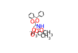 CC(C)(C)OC(=O)NC(CO[C]=O)C(=O)OC(c1ccccc1)c1ccccc1